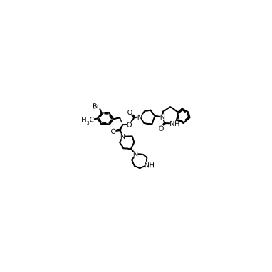 Cc1ccc(C[C@@H](OC(=O)N2CCC(N3CCc4ccccc4NC3=O)CC2)C(=O)N2CCC(N3CCCNCC3)CC2)cc1Br